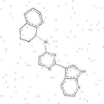 c1ccc2c(c1)CCC[C@H]2Nc1ccnc(-c2c[nH]c3ncccc23)n1